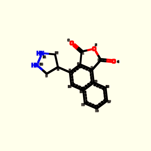 O=C1OC(=O)c2c1c(C1CNNC1)cc1ccccc21